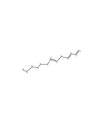 C=CC=CCC=NCCCCCC